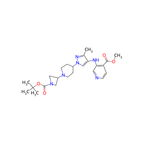 COC(=O)c1ccncc1Nc1cn(C2CCN(C3CN(C(=O)OC(C)(C)C)C3)CC2)nc1C